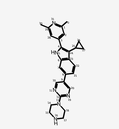 Cc1cc(-c2[nH]c3cc(-c4cnc(N5CCNCC5)nc4)ccc3c2C2CC2)cc(C)n1